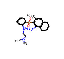 CC(C)N(CCNc1ccccc1S(=O)(=O)c1c(C(=O)O)cc2c(c1N)CCCC2)C(C)C